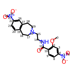 COc1cc([N+](=O)[O-])ccc1C(=O)NCCN1CCc2ccc([N+](=O)[O-])cc2CC1